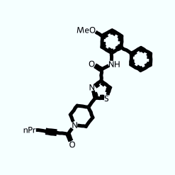 CCCC#CC(=O)N1CCC(c2nc(C(=O)Nc3cc(OC)ccc3-c3ccccc3)cs2)CC1